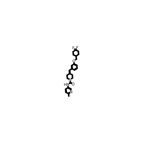 Cc1ccc(NC(=O)N2CCC(=Cc3cccc(OCC4CCC(F)(F)CC4)c3)CC2)cn1